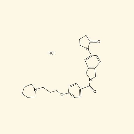 Cl.O=C(c1ccc(OCCCN2CCCCC2)cc1)N1Cc2ccc(N3CCCC3=O)cc2C1